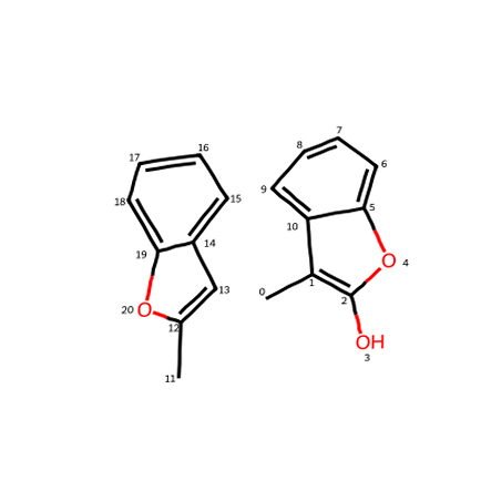 Cc1c(O)oc2ccccc12.Cc1cc2ccccc2o1